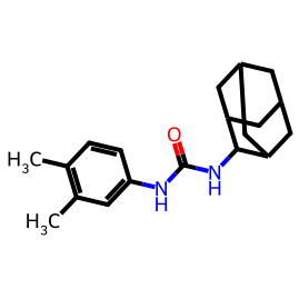 Cc1ccc(NC(=O)NC2C3CC4CC(C3)CC2C4)cc1C